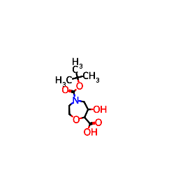 CC(C)(C)OC(=O)N1CCOC(C(=O)O)C(O)C1